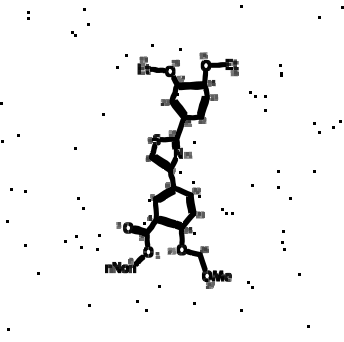 CCCCCCCCCOC(=O)c1cc(-c2csc(-c3ccc(OCC)c(OCC)c3)n2)ccc1OCOC